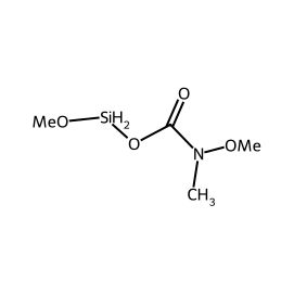 CO[SiH2]OC(=O)N(C)OC